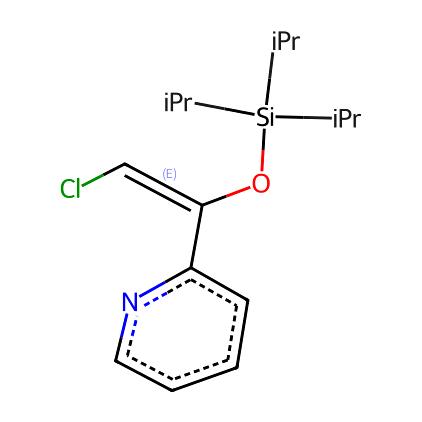 CC(C)[Si](O/C(=C/Cl)c1ccccn1)(C(C)C)C(C)C